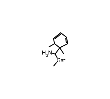 CC1C=CC=CC1(C)[CH](N)[Ga]([CH3])[CH3]